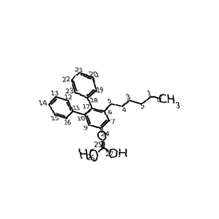 CCCCCCc1cccc(-c2ccccc2)c1-c1ccccc1.O=C(O)O